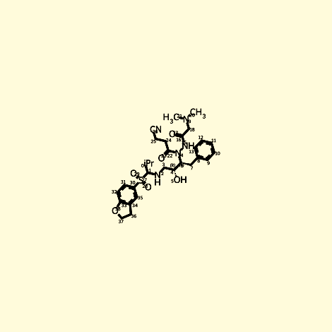 CC(C)C(NC[C@@H](O)[C@H](Cc1ccccc1)N(NC(=O)CN(C)C)C(=O)CCC#N)S(=O)(=O)c1ccc2c(c1)CCO2